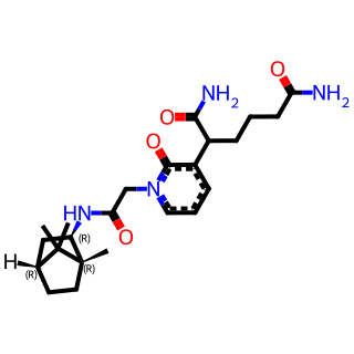 CC1(C)[C@@H]2CC[C@@]1(C)[C@H](NC(=O)Cn1cccc(C(CCCC(N)=O)C(N)=O)c1=O)C2